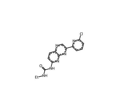 CCNC(=O)Nc1ccc2ncc(-c3cccc(Cl)n3)nc2n1